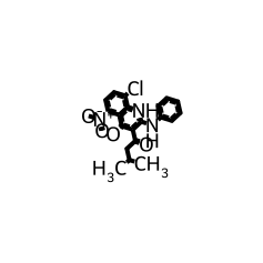 CC(C)CC(=O)c1c(Nc2ccccc2)[nH]c2c(Cl)ccc([N+](=O)[O-])c2c1=O